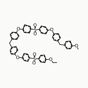 CCOc1ccc(S(=O)(=O)c2ccc(Oc3ccc(Cc4ccc(Oc5ccc(S(=O)(=O)c6ccc(Oc7ccc(Cc8ccc(OC)cc8)cc7)cc6)cc5)cc4)cc3)cc2)cc1